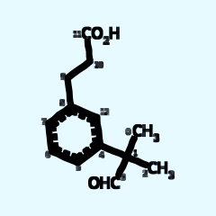 CC(C)(C=O)c1cccc(CCC(=O)O)c1